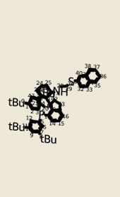 CC(C)(C)c1cc(P(c2cc(C(C)(C)C)cc(C(C)(C)C)c2)c2cccc3c2[C@]2(CCc4cccc(NCCSc5ccc6ccccc6c5)c42)CC3)cc(C(C)(C)C)c1